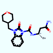 CC(C)(C)[C@@H](CC(N)=O)NC(=O)n1c(=O)n(CC2CCOCC2)c2ccccc21